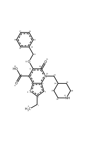 CCc1cc2c(s1)c(C(=O)O)c(OCc1ccccc1)c(=O)n2CC1CCNCC1